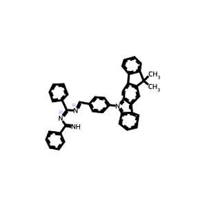 CC1(C)c2ccccc2-c2cc3c(cc21)c1ccccc1n3-c1ccc(/C=N/C(=N\C(=N)c2ccccc2)c2ccccc2)cc1